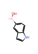 OBc1ccc2[nH]ccc2c1